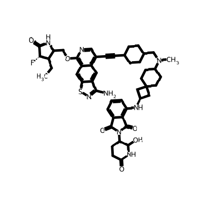 CCC1C(COc2ncc(C#CC3CCC(CN(C)C4CCC5(CC4)CC(Nc4cccc6c4C(=O)N(C4CCC(=O)NC4O)C6=O)C5)CC3)c3cc4c(N)nsc4cc23)NC(=O)[C@H]1F